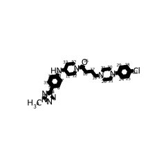 Cn1nnc(-c2ccc(NC3CCN(C(=O)CCCN4CCN(c5ccc(Cl)cc5)CC4)CC3)cc2)n1